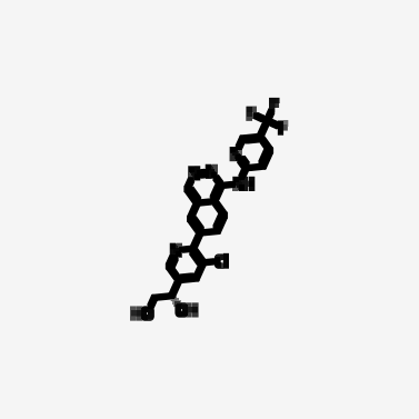 OC[C@@H](O)c1cnc(-c2ccc3c(Nc4ccc(C(F)(F)F)cn4)nncc3c2)c(Cl)c1